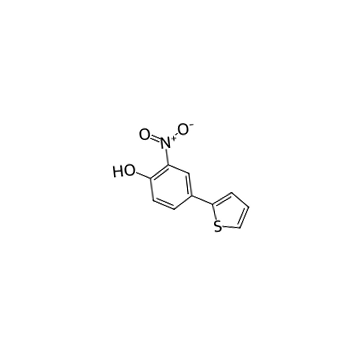 O=[N+]([O-])c1cc(-c2cccs2)ccc1O